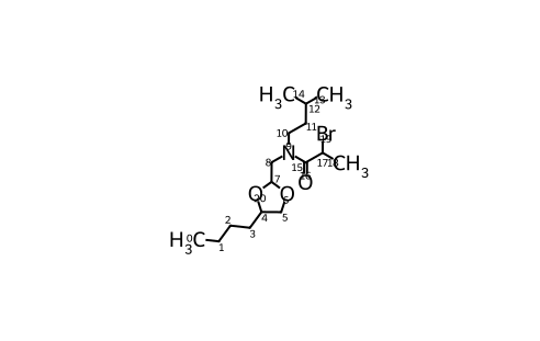 CCCCC1COC(CN(CCC(C)C)C(=O)C(C)Br)O1